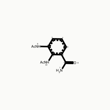 CC(=O)Nc1cccc(C(N)=O)c1NC(C)=O